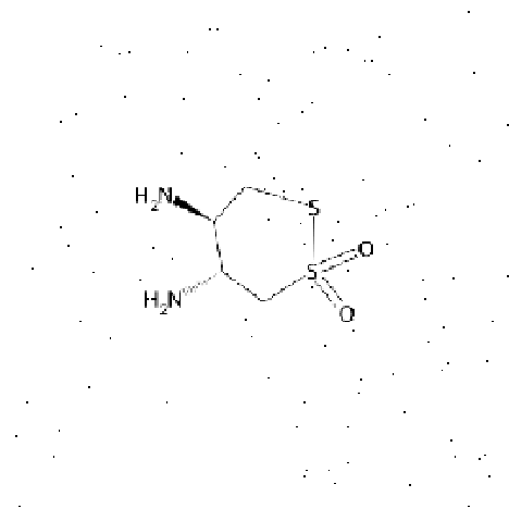 N[C@H]1CSS(=O)(=O)C[C@@H]1N